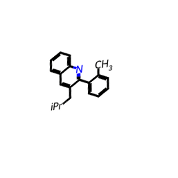 Cc1ccccc1-c1nc2ccccc2cc1CC(C)C